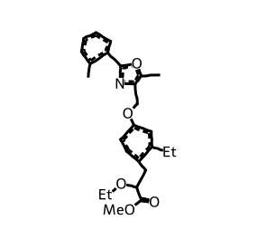 CCOC(Cc1ccc(OCc2nc(-c3ccccc3C)oc2C)cc1CC)C(=O)OC